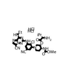 CCNc1nc(Nc2cc(C#N)cc(N3CC[C@@H](NC(=O)OC)[C@H](OC(=O)[C@@H](N)C(C)C)C3)c2Cl)nn2c(C#N)cnc12.Cl.Cl